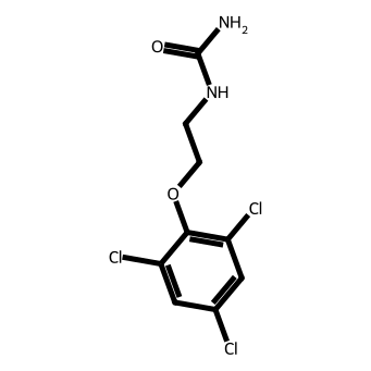 NC(=O)NCCOc1c(Cl)cc(Cl)cc1Cl